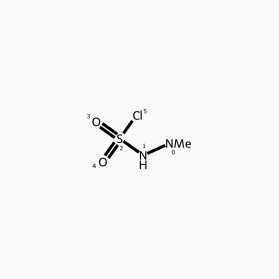 CNNS(=O)(=O)Cl